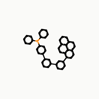 c1ccc(P(c2ccccc2)c2ccc(-c3cccc(-c4cccc(-c5ccc6ccc7cccc8ccc5c6c78)c4)c3)cc2)cc1